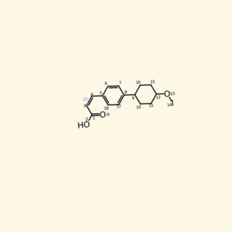 O=C(O)/C=C\c1ccc(C2CCC(OI)CC2)cc1